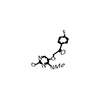 CNc1nc(Cl)ncc1OCC(=O)c1ccc(F)cc1